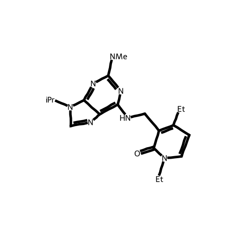 CCc1ccn(CC)c(=O)c1CNc1nc(NC)nc2c1ncn2C(C)C